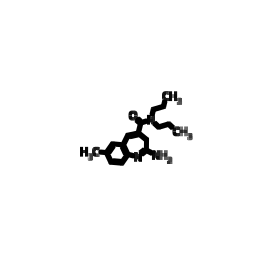 CCCN(CCC)C(=O)C1=Cc2cc(C)ccc2N=C(N)C1